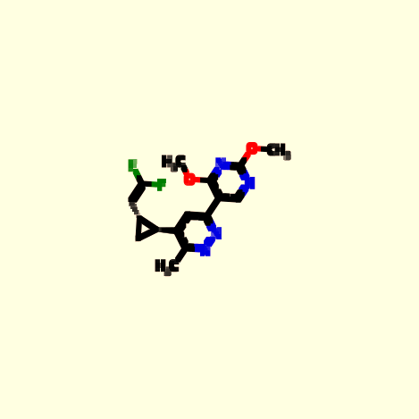 COc1ncc(-c2cc([C@H]3C[C@@H]3C=C(F)F)c(C)nn2)c(OC)n1